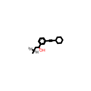 [2H]C([2H])(C)CC(O)c1cccc(C#CC2CCCCC2)c1